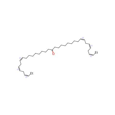 CC/C=C\C/C=C\C/C=C\CCCCCCCCC(=O)CCCCCCCC/C=C\C/C=C\C/C=C\CC